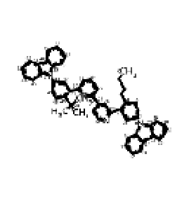 CCCCc1ccc(-n2c3ccccc3c3ccccc32)cc1-c1cc(-c2cccc(-c3cc(-n4c5ccccc5c5ccccc54)ccc3C(C)(C)C)n2)ccn1